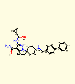 N#CCC1(n2cc(C(N)=O)c(NC(O)C3CC3)n2)CCC(NCc2ccc(-c3ccccc3)cc2)CC1